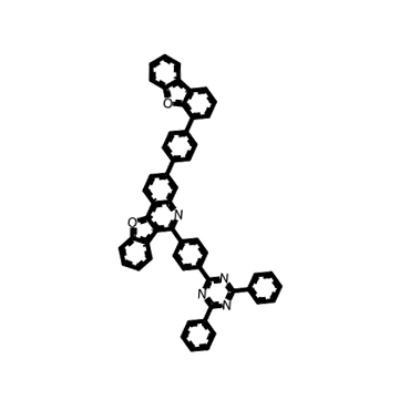 c1ccc(-c2nc(-c3ccccc3)nc(-c3ccc(-c4nc5cc(-c6ccc(-c7cccc8c7oc7ccccc78)cc6)ccc5c5oc6ccccc6c45)cc3)n2)cc1